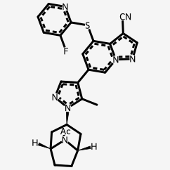 CC(=O)N1[C@@H]2CC[C@H]1C[C@H](n1ncc(-c3cc(Sc4ncccc4F)c4c(C#N)cnn4c3)c1C)C2